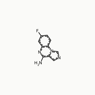 Nc1nc2cc(F)ccc2n2cncc12